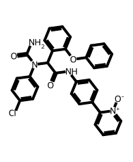 NC(=O)N(c1ccc(Cl)cc1)C(C(=O)Nc1ccc(-c2cccc[n+]2[O-])cc1)c1ccccc1Oc1ccccc1